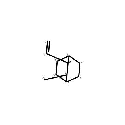 C=CC1C2CCC(CC2)C1C